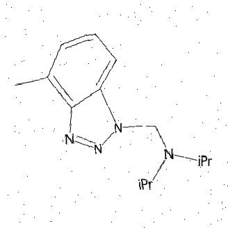 Cc1cccc2c1nnn2CN(C(C)C)C(C)C